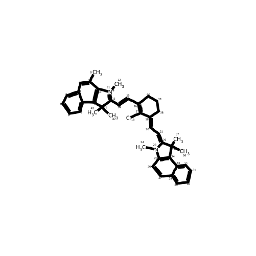 Cc1cc2ccccc2c2c1[N+](C)=C(C=CC1=C(Cl)C(=CC=C3N(C)c4ccc5ccccc5c4C3(C)C)CCC1)C2(C)C